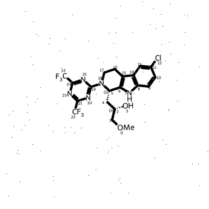 COC[C@@H](O)C[C@H]1c2[nH]c3ccc(Cl)cc3c2CCN1c1nc(C(F)(F)F)nc(C(F)(F)F)n1